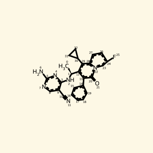 C[C@H](Nc1nc(N)ncc1C#N)c1c(-c2ccccc2)c(=O)n2cc(F)ccc2c1C1CC1